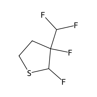 FC(F)C1(F)CCSC1F